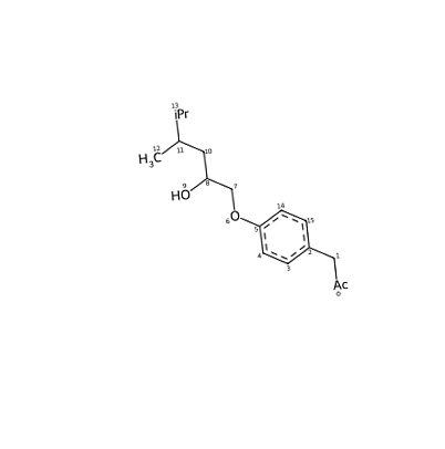 CC(=O)Cc1ccc(OCC(O)CC(C)C(C)C)cc1